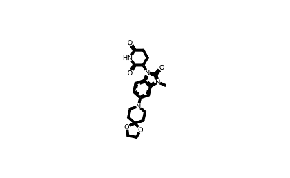 Cn1c(=O)n(C2CCC(=O)NC2=O)c2ccc(N3CCC4(CC3)OCCO4)cc21